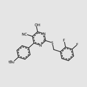 CC(C)(C)c1ccc(-c2nc(SCc3cccc(F)c3F)nc(O)c2C#N)cc1